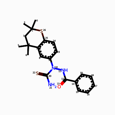 CC1(C)CC(C)(C)c2cc(N(NC(=O)c3ccccc3)C(N)=S)ccc2S1